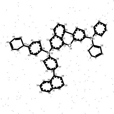 C1=CCCC(N(c2ccccc2)c2ccc3c(c2)Oc2cc(N(c4ccc(-c5cccc6ccccc56)cc4)c4ccc(C5C=CC=CC5)cc4)cc4cccc-3c24)=C1